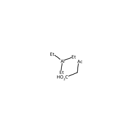 CC(=O)CC(=O)O.C[CH2][Al]([CH2]C)[CH2]C